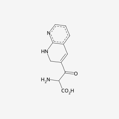 NC(C(=O)O)C(=O)C1=Cc2cccnc2NC1